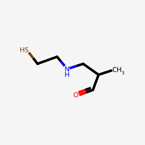 CC(C=O)CNCCS